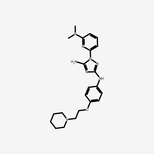 CN(C)c1cccc(-n2nc(Nc3ccc(OCCN4CCCCC4)cc3)nc2N)n1